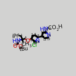 CC(C)CC(C)(COc1ccc(-c2ccnc(NC(=O)O)c2)nc1Cl)NC(=O)OC(C)(C)C